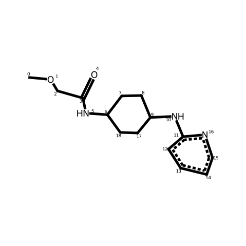 COCC(=O)NC1CCC(Nc2ccccn2)CC1